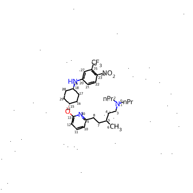 CCCN(CCC)CCC(C)CCc1cccc(O[C@H]2CC[C@H](Nc3ccc([N+](=O)[O-])c(C(F)(F)F)c3)CC2)n1